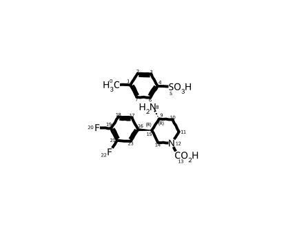 Cc1ccc(S(=O)(=O)O)cc1.N[C@@H]1CCN(C(=O)O)C[C@H]1c1ccc(F)c(F)c1